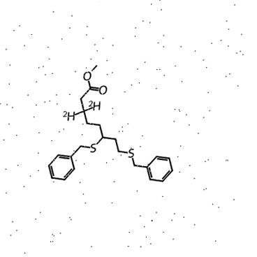 [2H]C([2H])(CCC(CCSCc1ccccc1)SCc1ccccc1)CC(=O)OC